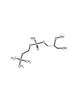 C[N+](C)(C)CCOP(=O)(O)OC[C@@H](CO)OO